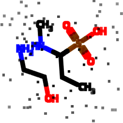 CCC(NC)S(=O)(=O)O.NCCO